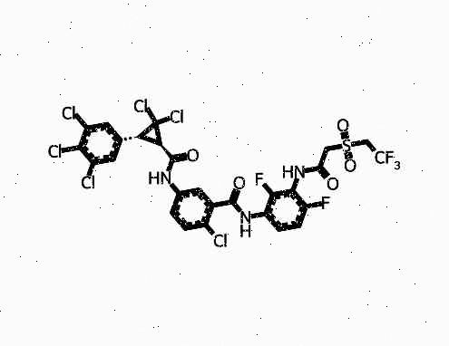 O=C(CS(=O)(=O)CC(F)(F)F)Nc1c(F)ccc(NC(=O)c2cc(NC(=O)[C@H]3[C@H](c4cc(Cl)c(Cl)c(Cl)c4)C3(Cl)Cl)ccc2Cl)c1F